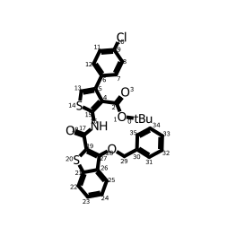 CC(C)(C)OC(=O)c1c(-c2ccc(Cl)cc2)csc1NC(=O)c1sc2ccccc2c1OCc1ccccc1